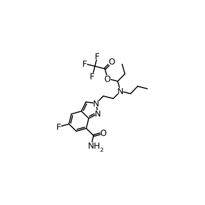 CCCN(CCn1cc2cc(F)cc(C(N)=O)c2n1)C(CC)OC(=O)C(F)(F)F